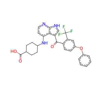 O=C(c1ccc(Oc2ccccc2)cc1C(F)(F)F)c1c[nH]c2nccc(NC3CCC(C(=O)O)CC3)c12